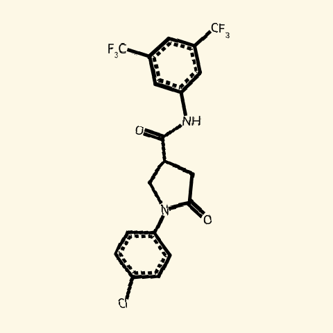 O=C(Nc1cc(C(F)(F)F)cc(C(F)(F)F)c1)C1CC(=O)N(c2ccc(Cl)cc2)C1